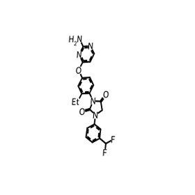 CCc1cc(Oc2ccnc(N)n2)ccc1N1C(=O)CN(c2cccc(C(F)F)c2)C1=O